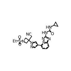 CCS(=O)(=O)N1CC(CC#N)(n2cc(-c3cccc4nc(NC(=O)NC5CC5)nn34)cn2)C1